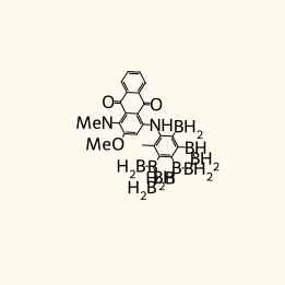 BBB(B)c1c(C)c(Nc2cc(OC)c(NC)c3c2C(=O)c2ccccc2C3=O)c(B)c(BB)c1B(B)B